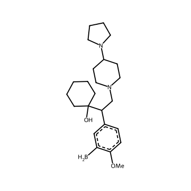 Bc1cc(C(CN2CCC(N3CCCC3)CC2)C2(O)CCCCC2)ccc1OC